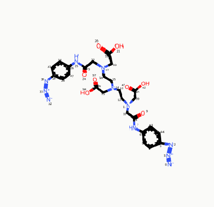 [N-]=[N+]=Nc1ccc(NC(=O)CN(CCN(CCN(CC(=O)O)CC(=O)Nc2ccc(N=[N+]=[N-])cc2)CC(=O)O)CC(=O)O)cc1